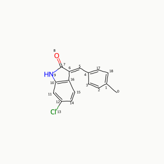 Cc1ccc(/C=C2/C(=O)Nc3cc(Cl)ccc32)cc1